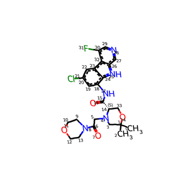 CC1(C)CN(CC(=O)N2CCOCC2)[C@H](C(=O)Nc2cc(Cl)cc3c2[nH]c2cncc(F)c23)CO1